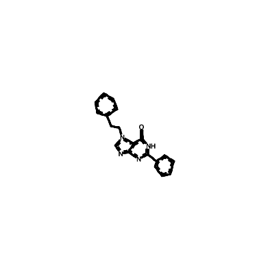 O=c1[nH]c(-c2ccccc2)nc2ncn(CCc3ccccc3)c12